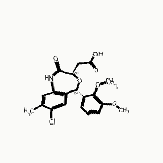 COc1cccc([C@H]2O[C@H](CC(=O)O)C(=O)Nc3cc(C)c(Cl)cc32)c1OC